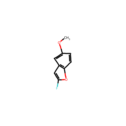 COc1[c]cc2oc(F)cc2c1